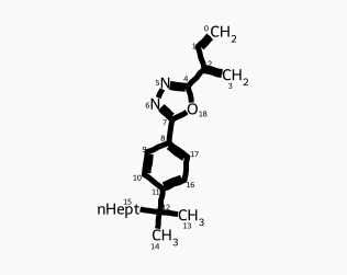 C=CC(=C)c1nnc(-c2ccc(C(C)(C)CCCCCCC)cc2)o1